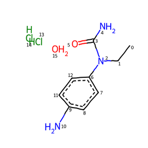 CCN(C(N)=O)c1ccc(N)cc1.Cl.Cl.O